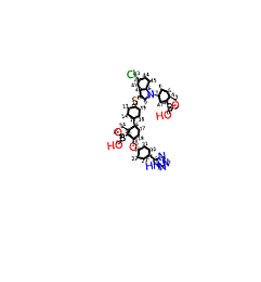 OB1OCc2ccc(-n3cc(Sc4ccc(-c5ccc(Oc6ccc(-c7nnn[nH]7)cc6)c6c5COB6O)cc4)c4cc(Cl)ccc43)cc21